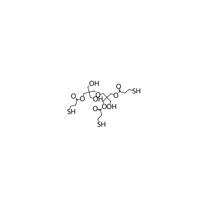 O=C(CCS)OCC(CO)(CO)COCC(CO)(COC(=O)CCS)COC(=O)CCS